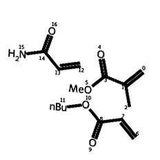 C=C(C)C(=O)OC.C=CC(=O)OCCCC.C=CC(N)=O